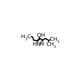 CCCc1[nH]nc(CC(C)C)c1O